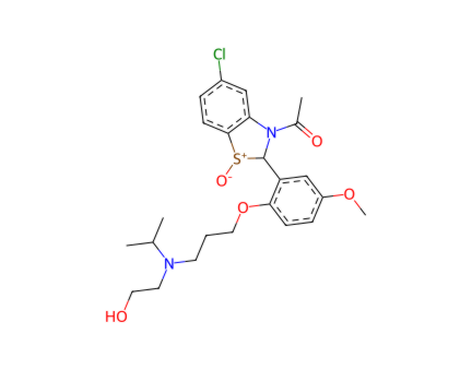 COc1ccc(OCCCN(CCO)C(C)C)c(C2N(C(C)=O)c3cc(Cl)ccc3[S+]2[O-])c1